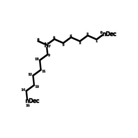 CCCCCCCCCCCCCCCCN(C)CCCCCCCCCCCCCCCC